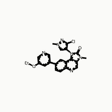 CCOc1cncc(-c2ccc3ncc4c(c3c2)n(-c2cn(C)nc2Cl)c(=O)n4C)c1